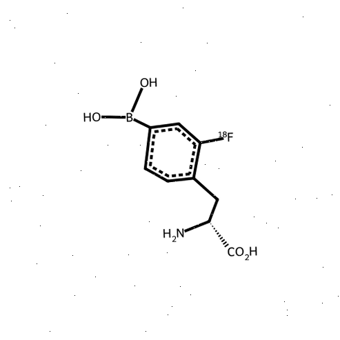 N[C@H](Cc1ccc(B(O)O)cc1[18F])C(=O)O